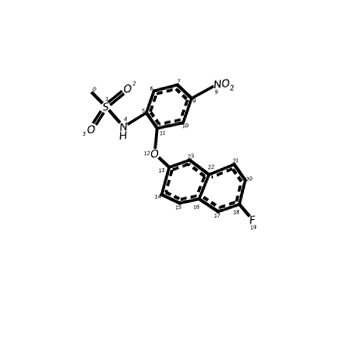 CS(=O)(=O)Nc1ccc([N+](=O)[O-])cc1Oc1ccc2cc(F)ccc2c1